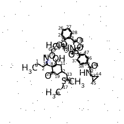 CCC/C(=N/OCC)C1=C(O)CC(CC(C)SCC)CC1=O.COc1ccccc1C(=O)NS(=O)(=O)c1ccc(C(=O)NC2CC2)cc1